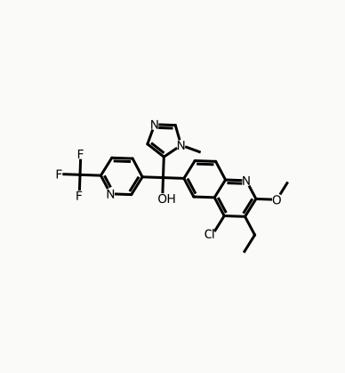 CCc1c(OC)nc2ccc(C(O)(c3ccc(C(F)(F)F)nc3)c3cncn3C)cc2c1Cl